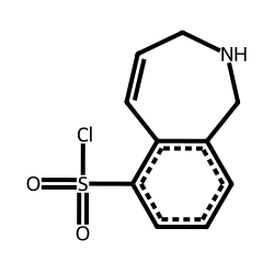 O=S(=O)(Cl)c1cccc2c1C=CCNC2